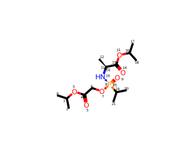 CC(C)OC(=O)CO[P@@](=O)(N[C@@H](C)C(=O)OC(C)C)C(C)C